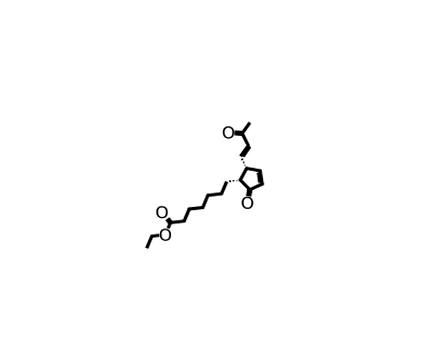 CCOC(=O)CCCCCC[C@H]1C(=O)C=C[C@H]1C=CC(C)=O